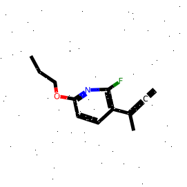 C=C=C(C)c1ccc(OCCC)nc1F